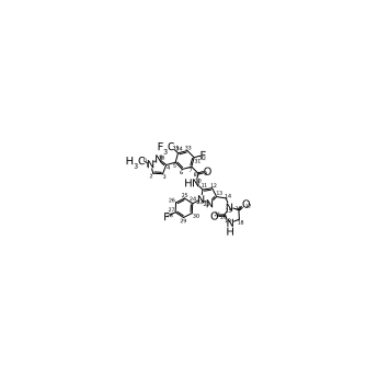 Cn1ccc(-c2cc(C(=O)Nc3cc(CN4C(=O)CNC4=O)nn3-c3ccc(F)cc3)c(F)cc2C(F)(F)F)n1